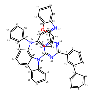 c1ccc(-c2cccc(-c3nc(-c4nc5ccccc5o4)nc(-n4c5ccccc5c5ccc6c7ccccc7n(-c7ccccc7)c6c54)n3)c2)cc1